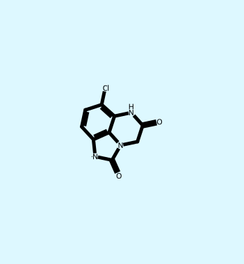 O=C1CN2C(=O)[N]c3ccc(Cl)c(c32)N1